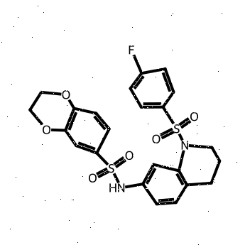 O=S(=O)(Nc1ccc2c(c1)N(S(=O)(=O)c1ccc(F)cc1)CCC2)c1ccc2c(c1)OCCO2